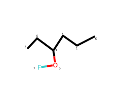 CCCC(CC)OF